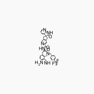 N=Cc1c(N)ccc2c1CN(Cc1ccc(C(F)(F)F)cc1)C(=O)[C@H](NC(=O)c1cc3c(cn1)CC1(C3)C(=O)Nc3ncccc31)C2